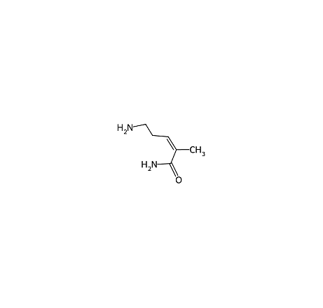 CC(=CCCN)C(N)=O